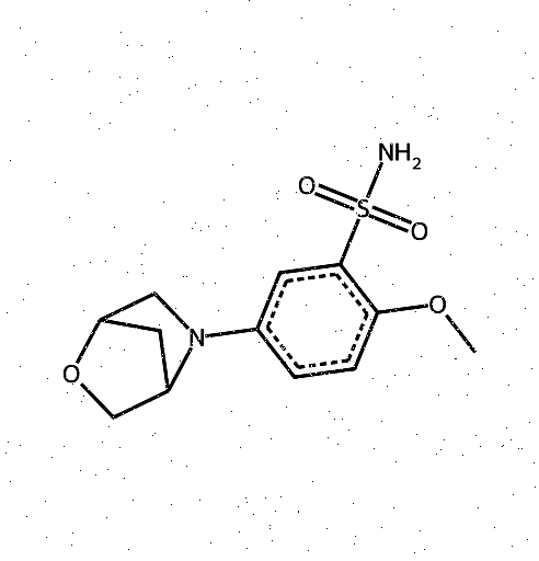 COc1ccc(N2CC3CC2CO3)cc1S(N)(=O)=O